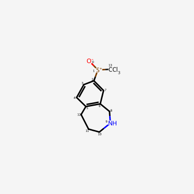 [O-][S+](c1ccc2c(c1)CNCCC2)C(Cl)(Cl)Cl